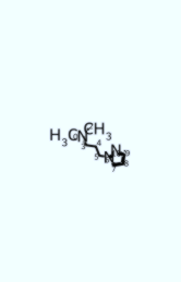 CN(C)CCCn1cc[c]n1